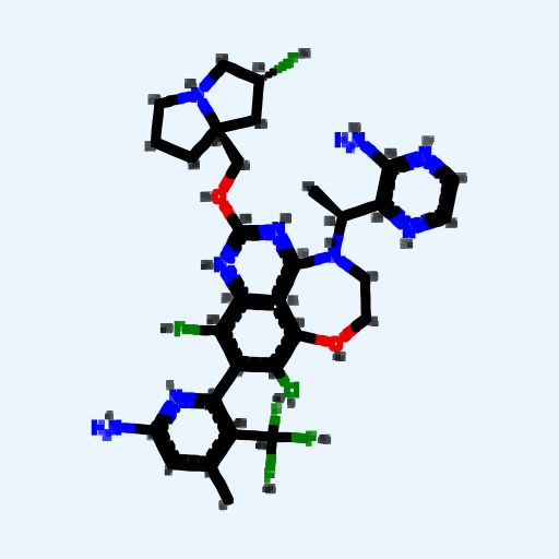 Cc1cc(N)nc(-c2c(Cl)c3c4c(nc(OC[C@@]56CCCN5C[C@H](F)C6)nc4c2F)N([C@@H](C)c2nccnc2N)CCO3)c1C(F)(F)F